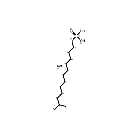 CC(C)CCCCCCCCCCOP(=O)(O)O.[NaH]